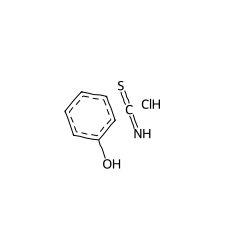 Cl.N=C=S.Oc1ccccc1